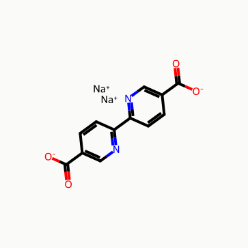 O=C([O-])c1ccc(-c2ccc(C(=O)[O-])cn2)nc1.[Na+].[Na+]